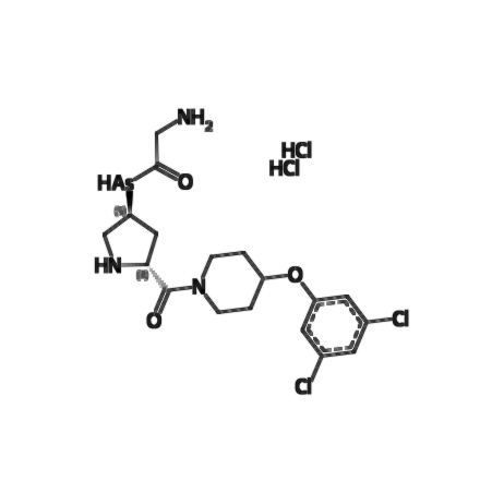 Cl.Cl.NCC(=O)[AsH][C@@H]1CN[C@@H](C(=O)N2CCC(Oc3cc(Cl)cc(Cl)c3)CC2)C1